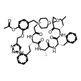 CC(=O)Oc1ccc(C[N+]2(CC(=O)N[C@@H](CCc3ccccc3)C(=O)N[C@@H](C)C(=O)N[C@@H](Cc3ccccc3)C(=O)N[C@@H](CC(C)C)C(=O)[C@@]3(C)CO3)CCOCC2)cc1OCc1c[nH]nn1